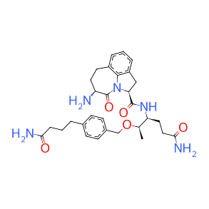 C[C@@H](OCc1ccc(CCCC(N)=O)cc1)[C@H](CCC(N)=O)NC(=O)[C@@H]1Cc2cccc3c2N1C(=O)[C@@H](N)CC3